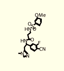 COc1cccc(S(=O)(=O)NCCC(=O)NC(Cc2cncn2C)c2ccc(C#N)c(F)c2)c1